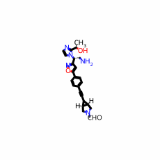 C[C@H](O)c1nccn1[C@H](CN)c1cc(-c2ccc(C#CC3[C@H]4CN(C=O)C[C@@H]34)cc2)on1